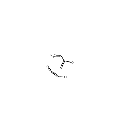 C=CC([O])=O.CCN=C=O